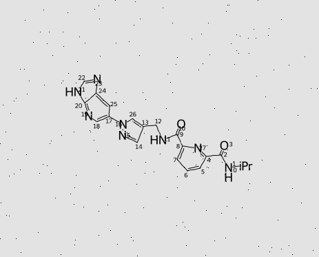 CC(C)NC(=O)c1cccc(C(=O)NCc2cnn(-c3cnc4[nH]cnc4c3)c2)n1